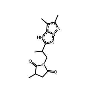 Cc1nn2nc(C(C)CN3C(=O)CC(C)C3=O)[nH]c2c1C